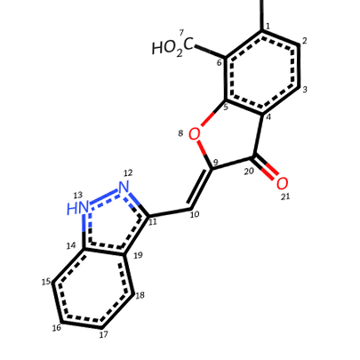 COc1ccc2c(c1C(=O)O)OC(=Cc1n[nH]c3ccccc13)C2=O